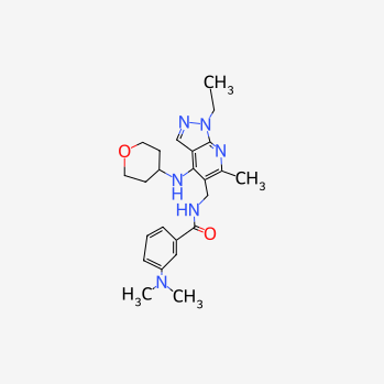 CCn1ncc2c(NC3CCOCC3)c(CNC(=O)c3cccc(N(C)C)c3)c(C)nc21